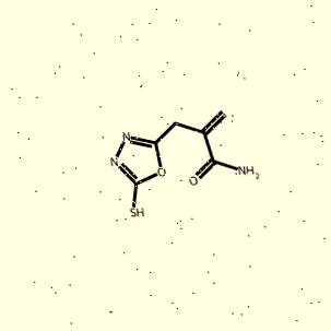 C=C(Cc1nnc(S)o1)C(N)=O